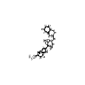 CN(C[C@H](O)CN1CCc2ccccc2C1)C(=O)c1cn2nc(C(F)(F)F)ccc2n1